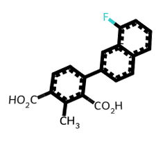 Cc1c(C(=O)O)ccc(-c2ccc3cccc(F)c3c2)c1C(=O)O